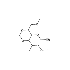 COCC(C)C1OCOC(COC)C1OCO